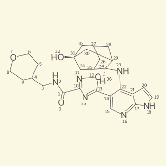 O=C(NCC1CCOCC1)c1noc(-c2cnc3[nH]ccc3c2N[C@H]2C3CC4CC2C[C@@](O)(C4)C3)n1